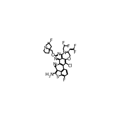 N#Cc1c(N)sc2c(F)ccc(-c3c(Cl)c4c5c(nc(OC[C@@]67CCCN6C[C@H](F)C7)nc5c3F)N(CC(F)F)[C@@H](C=C(F)F)CO4)c12